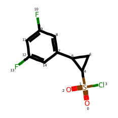 O=S(=O)(Cl)C1CC1c1cc(F)cc(F)c1